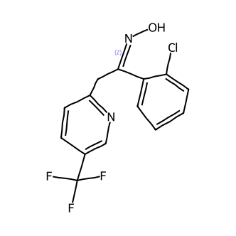 O/N=C(/Cc1ccc(C(F)(F)F)cn1)c1ccccc1Cl